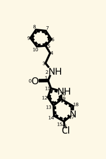 O=C(NCCc1ccccc1)c1cc2cc(Cl)ncc2[nH]1